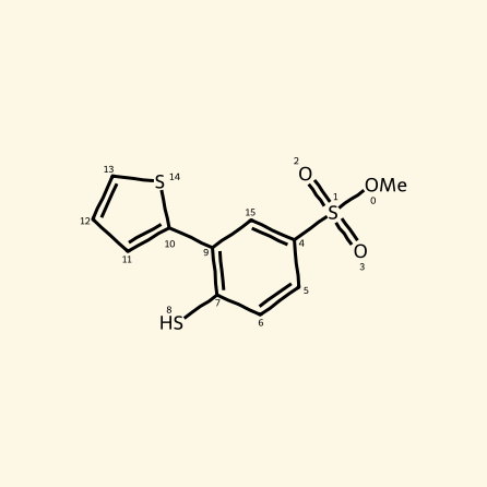 COS(=O)(=O)c1ccc(S)c(-c2cccs2)c1